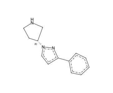 c1ccc(-c2ccn([C@@H]3CCNC3)n2)cc1